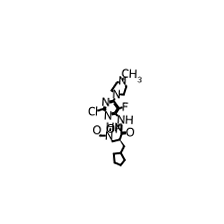 CN1CCN(c2nc(Cl)nc(NNC(=O)[C@@H](CC3CCCC3)CN(O)C=O)c2F)CC1